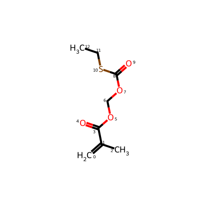 C=C(C)C(=O)OCOC(=O)SCC